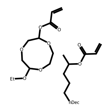 C=CC(=O)OC(C)CCCCCCCCCCCCC.C=CC(=O)OC1COCC(OCC)OCCO1